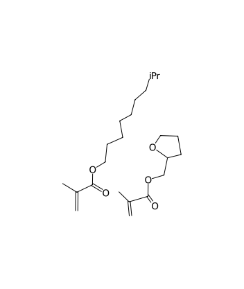 C=C(C)C(=O)OCC1CCCO1.C=C(C)C(=O)OCCCCCCCC(C)C